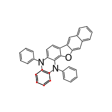 c1ccc(N(c2ccccc2)c2ccc3c(oc4cc5ccccc5cc43)c2N(c2ccccc2)c2ccccc2)cc1